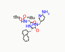 CC[C@@H](C)C(NC(=O)OC(C)(C)C)C(=O)N[C@@H](Cc1cccc2ccccc12)C(=O)NCc1ccc(N)nc1